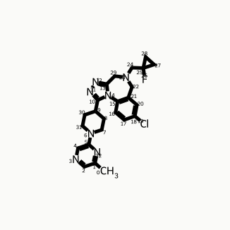 Cc1cncc(N2CCC(c3nnc4n3-c3ccc(Cl)cc3CN(CC3(F)CC3)C4)CC2)n1